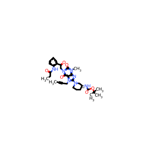 CC#CCn1c(N2CCC[C@@H](NC(=O)OC(C)(C)C)C2)nc2c1c(=O)n(CC(=O)c1ccccc1NC(=O)CC)c(=O)n2C